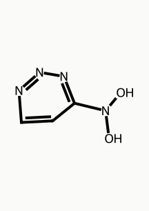 ON(O)c1ccnnn1